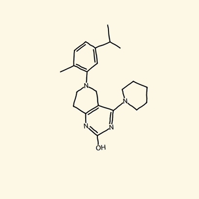 Cc1ccc(C(C)C)cc1N1CCc2nc(O)nc(N3CCCCC3)c2C1